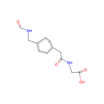 O=CNCc1ccc(CC(=O)NCC(=O)O)cc1